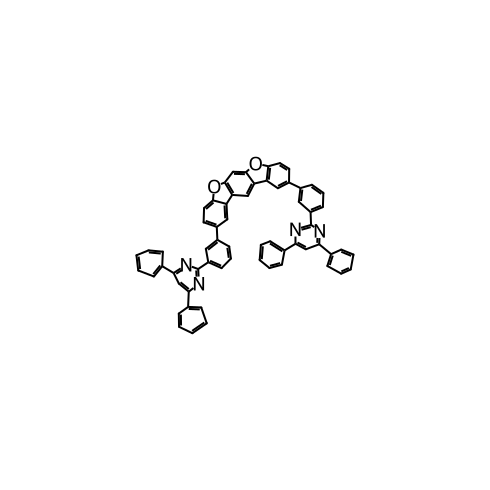 c1ccc(-c2cc(-c3ccccc3)nc(-c3cccc(-c4ccc5oc6cc7oc8ccc(-c9cccc(-c%10nc(-c%11ccccc%11)cc(-c%11ccccc%11)n%10)c9)cc8c7cc6c5c4)c3)n2)cc1